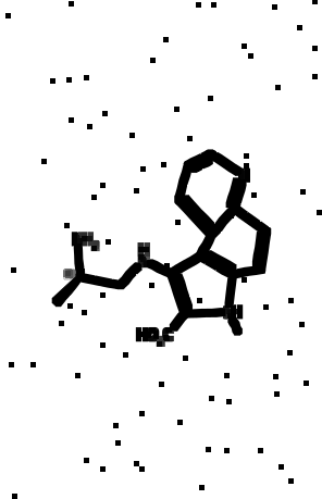 C[C@@H](N)CNC1=C(C(=O)O)[SH](C)c2ccc3ncccc3c21